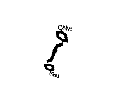 CCCC[C@H]1CC[C@H](C=CC#CC=C[C@H]2CC[C@H](OC)CC2)CC1